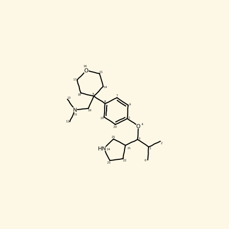 CC(C)C(Oc1ccc(C2(CN(C)C)CCOCC2)cc1)C1CCNC1